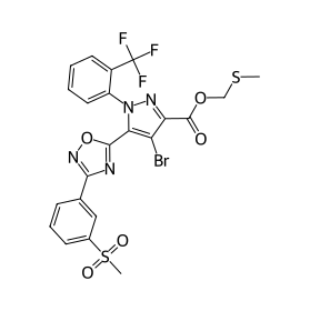 CSCOC(=O)c1nn(-c2ccccc2C(F)(F)F)c(-c2nc(-c3cccc(S(C)(=O)=O)c3)no2)c1Br